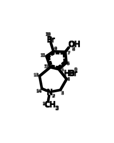 Br.CN1CCc2cc(O)c(Br)cc2CC1